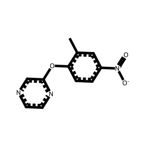 Cc1cc([N+](=O)[O-])ccc1Oc1cnccn1